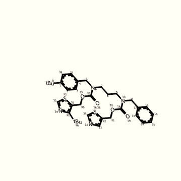 CC(C)(C)c1ccc(CN(CCCN(Cc2ccccc2)C(=O)OCc2cncs2)C(=O)OCc2scnc2C(C)(C)C)cc1